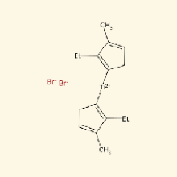 CCC1=[C]([Ti+2][C]2=C(CC)C(C)=CC2)CC=C1C.[Br-].[Br-]